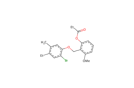 CCC(=O)Oc1cccc(OC)c1COc1cc(C)c(CC)cc1Br